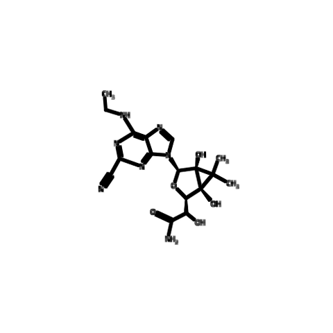 CCNc1nc(C#N)nc2c1ncn2[C@@H]1O[C@H](C(O)C(N)=O)[C@@]2(O)C(C)(C)[C@@]12O